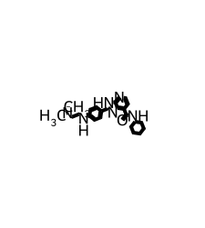 CN(C)CCNc1ccc(-c2nc3c(C(=O)NC4CCCCC4)ccnc3[nH]2)cc1